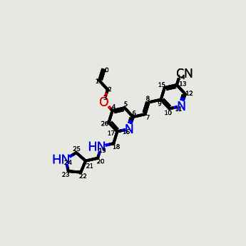 C=CCOc1cc(/C=C/c2cncc(C#N)c2)nc(CNCC2CCNC2)c1